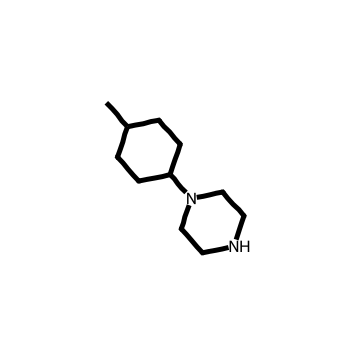 CC1CCC(N2CCNCC2)CC1